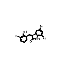 O=C1Nc2c(Br)cc(Br)cc2C1=Cc1cccc(F)c1O